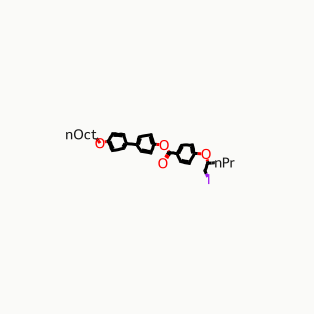 CCCCCCCCOc1ccc(-c2ccc(OC(=O)c3ccc(OC(CI)CCC)cc3)cc2)cc1